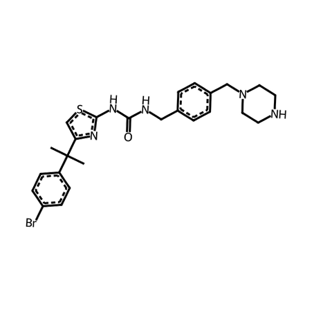 CC(C)(c1ccc(Br)cc1)c1csc(NC(=O)NCc2ccc(CN3CCNCC3)cc2)n1